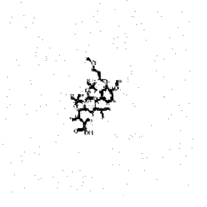 COCCCOc1cc(C[C@H](CC2C(C(C)C(C)C(=O)O)OC(C)(C)N2C(=O)OC(C)(C)C)C(C)C)ccc1OC